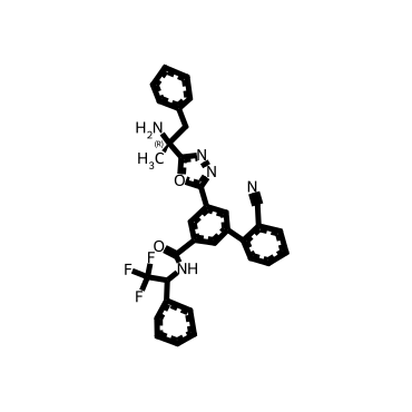 C[C@@](N)(Cc1ccccc1)c1nnc(-c2cc(C(=O)NC(c3ccccc3)C(F)(F)F)cc(-c3ccccc3C#N)c2)o1